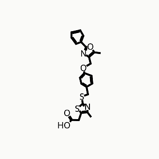 Cc1nc(SCc2ccc(OCc3nc(-c4ccccc4)oc3C)cc2)sc1CC(=O)O